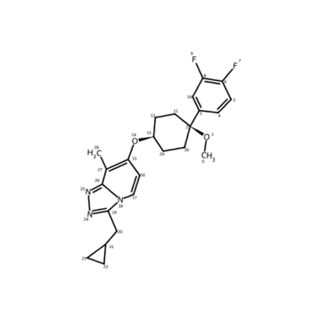 CO[C@]1(c2ccc(F)c(F)c2)CC[C@H](Oc2ccn3c(CC4CC4)nnc3c2C)CC1